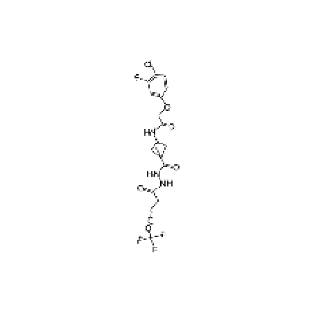 O=C(CCCOC(F)(F)F)NNC(=O)C12CC(NC(=O)COc3ccc(Cl)c(F)c3)(C1)C2